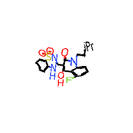 CC(C)CCn1c(=O)c(C2=NS(=O)(=O)c3ccccc3N2)c(O)c2c(F)cccc21